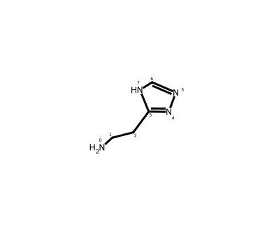 NCCc1nn[c][nH]1